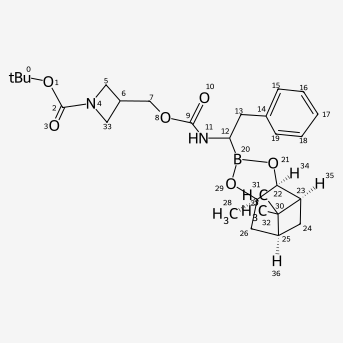 CC(C)(C)OC(=O)N1CC(COC(=O)NC(Cc2ccccc2)B2O[C@H]3[C@H]4C[C@@H](C[C@@]3(C)O2)C4(C)C)C1